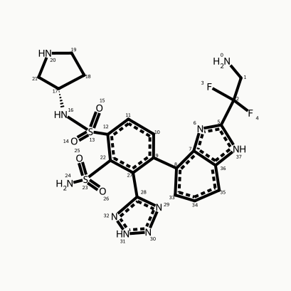 NCC(F)(F)c1nc2c(-c3ccc(S(=O)(=O)N[C@H]4CCNC4)c(S(N)(=O)=O)c3-c3nn[nH]n3)cccc2[nH]1